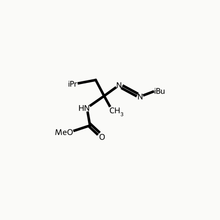 CCC(C)N=NC(C)(CC(C)C)NC(=O)OC